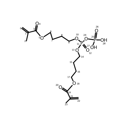 C=C(C)C(=O)OCCCCOP(=O)(OCCCCOC(=O)C(=C)C)OP(=O)(O)O